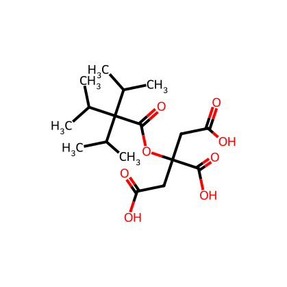 CC(C)C(C(=O)OC(CC(=O)O)(CC(=O)O)C(=O)O)(C(C)C)C(C)C